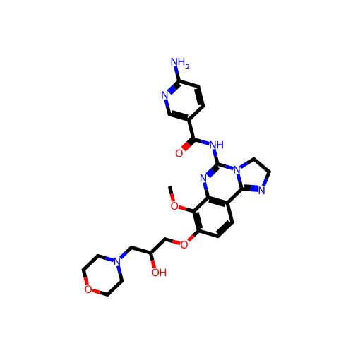 COc1c(OCC(O)CN2CCOCC2)ccc2c1N=C(NC(=O)c1ccc(N)nc1)N1CCN=C21